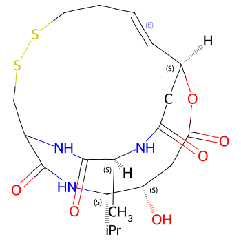 CC(C)[C@@H]1NC(=O)C2CSSCC/C=C/[C@H](CC(=O)N[C@@H](C)C(=O)N2)OC(=O)C[C@@H]1O